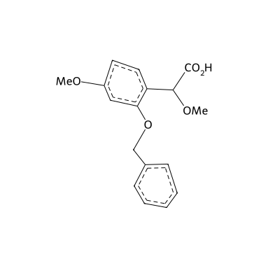 COc1ccc(C(OC)C(=O)O)c(OCc2ccccc2)c1